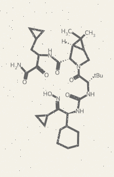 CC(C)(C)[C@H](NC(=O)N[C@H](/C(=N/O)C1CC1)C1CCCCC1)C(=O)N1CC2[C@@H]([C@H]1C(=O)NC(CC1CC1)C(=O)C(N)=O)C2(C)C